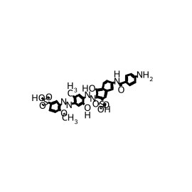 COc1ccc(S(=O)(=O)O)cc1N=Nc1cc(O)c(N=Nc2c(S(=O)(=O)O)cc3cc(NC(=O)c4ccc(N)cc4)ccc3c2O)cc1C